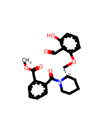 COC(=O)c1ccccc1C(=O)N1CCCC[C@H]1COc1cccc(O)c1C=O